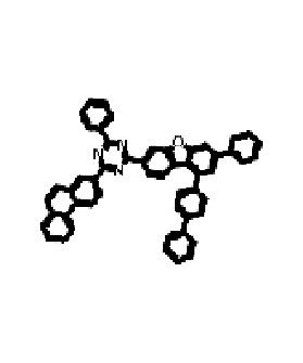 c1ccc(-c2ccc(-c3cc(-c4ccccc4)cc4oc5cc(-c6nc(-c7ccccc7)nc(-c7ccc8c(ccc9ccccc98)c7)n6)ccc5c34)cc2)cc1